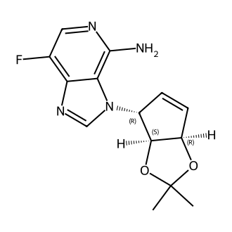 CC1(C)O[C@H]2[C@H](n3cnc4c(F)cnc(N)c43)C=C[C@H]2O1